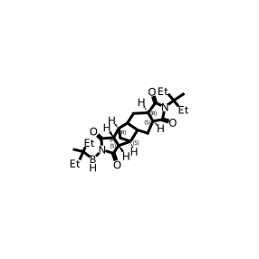 CCC(C)(BN1C(=O)[C@@H]2[C@H](C1=O)[C@@H]1C[C@H]2C2C[C@@H]3C(=O)N(C(C)(CC)CC)C(=O)[C@@H]3CC21)CC